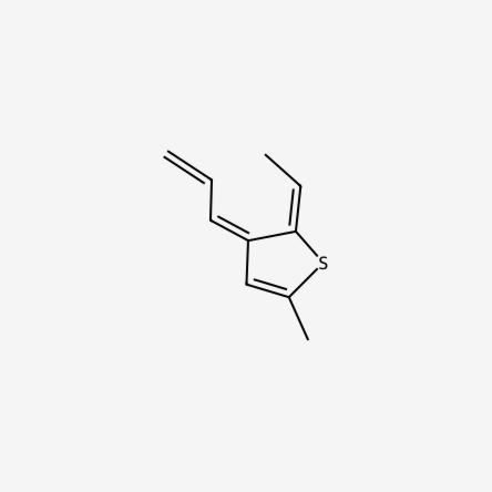 C=C/C=c1/cc(C)s/c1=C/C